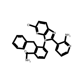 NC(=O)c1cccc(-n2c(-c3cccnc3N)nc3ccc(Cl)nc32)c1Cc1ccccc1